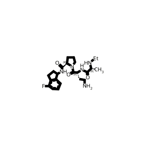 CCN[C@H](C)C(=O)N[C@H](CCN)C(=O)N1CCC[C@@H]1C(=O)NC1CCc2c(F)cccc21